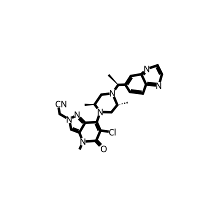 C[C@@H]1CN(c2c(Cl)c(=O)n(C)c3cn(CC#N)nc23)[C@@H](C)CN1[C@@H](C)c1ccc2nccnc2c1